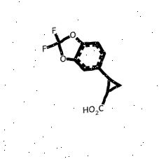 O=C(O)C1CC1c1ccc2c(c1)OC(F)(F)O2